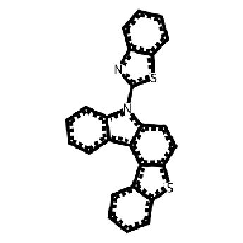 c1ccc2sc(-n3c4ccccc4c4c5c(ccc43)sc3ccccc35)nc2c1